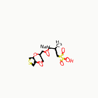 CC(COCC1COc2cscc2O1)CS(=O)(=O)O.[NaH]